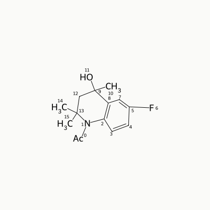 CC(=O)N1c2ccc(F)cc2C(C)(O)CC1(C)C